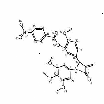 C=C1C(=O)N(c2cc(OC)c(OC)c(OC)c2)[C@H]1c1ccc(OC)c(OC(=O)c2ccc([N+](=O)[O-])cc2)c1